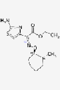 CCOC(=O)/C(=N\O[C@@H]1CCCC[C@H]1C)c1csc(N)n1